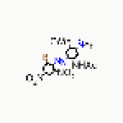 CCN(C)c1cc(NC(C)=O)c(N=Nc2c(Br)cc([N+](=O)[O-])cc2[N+](=O)[O-])cc1OC